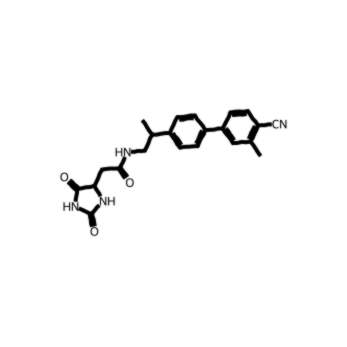 Cc1cc(-c2ccc(C(C)CNC(=O)CC3NC(=O)NC3=O)cc2)ccc1C#N